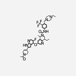 CCC1CN(C(=O)Nc2ccc(CN3CCN(CC)CC3)c(C(F)(F)F)c2)C(C)c2cc(Oc3c(F)cnc4[nH]c(C5=CCN(C(C)=O)CC5)cc34)cnc21